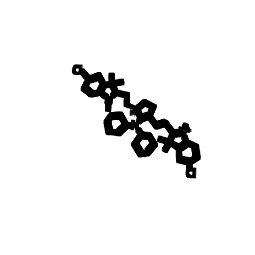 CN1c2ccc(Cl)cc2C(C)(C)C1CC[C@H]1CCC(C=CC2=[N+](C)c3ccc(Cl)cc3C2(C)C)=C1N(c1ccccc1)c1ccccc1